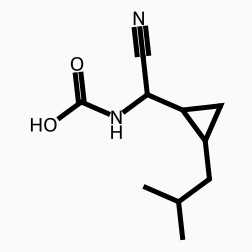 CC(C)CC1CC1C(C#N)NC(=O)O